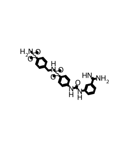 N=C(N)c1cccc(NC(=O)Nc2ccc(S(=O)(=O)NCc3ccc(S(N)(=O)=O)cc3)cc2)c1